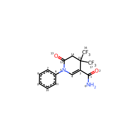 NC(=O)C1=CN(c2ccccc2)C(=O)CC1(C(F)(F)F)C(F)(F)F